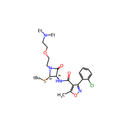 CCN(CC)CCOCCN1C(=O)[C@@H](NC(=O)c2c(-c3ccccc3Cl)noc2C)[C@H]1SC(C)(C)C